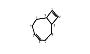 C1=CC2CC/C=C\CCC12